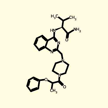 CC(Oc1ccccc1)C(=O)N1CCN(Cc2nc(N[C@H](C(N)=O)C(C)C)c3ccccc3n2)CC1